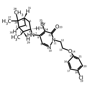 C[C@@H]1[C@H]2C[C@@H](C[C@H]1Nc1cnn(CCOc3ccc(Cl)cc3)c(=O)c1Br)C2(C)C